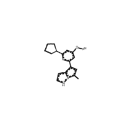 CCCOc1cc(-c2cc(C)n3[nH]ccc23)nc(C2CCCC2)c1